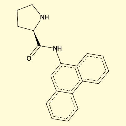 O=C(Nc1cc2ccccc2c2ccccc12)[C@H]1CCCN1